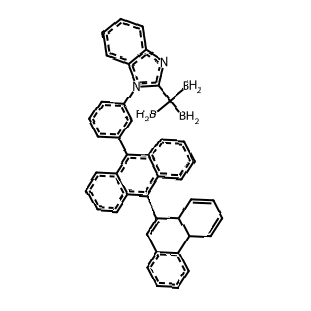 BC(B)(B)c1nc2ccccc2n1-c1cccc(-c2c3ccccc3c(C3=Cc4ccccc4C4C=CC=CC34)c3ccccc23)c1